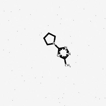 Cc1nnc(N2CCCC2)o1